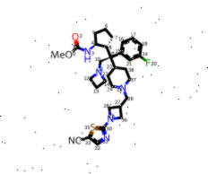 COC(=O)N[C@H]1CCC[C@@H]1[C@](CN1CCC1)(c1cccc(F)c1)C1CCN(CC2CN(c3ncc(C#N)s3)C2)CC1